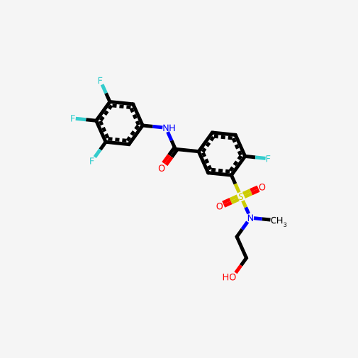 CN(CCO)S(=O)(=O)c1cc(C(=O)Nc2cc(F)c(F)c(F)c2)ccc1F